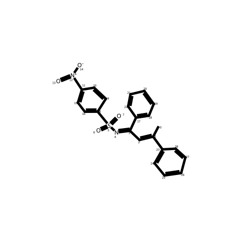 C/C(=C\C(=NS(=O)(=O)c1ccc([N+](=O)[O-])cc1)c1ccccc1)c1ccccc1